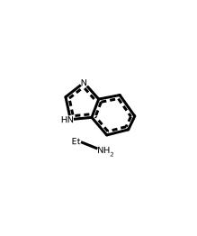 CCN.c1ccc2[nH]cnc2c1